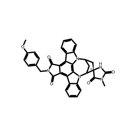 COc1ccc(CN2C(=O)c3c(c4c5ccccc5n5c4c4c3c3ccccc3n4C3CC5[C@]4(C3)NC(=O)N(C)C4=O)C2=O)cc1